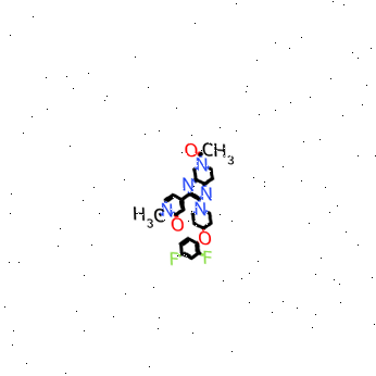 CC(=O)N1CCc2nc(N3CCC(Oc4ccc(F)cc4F)CC3)c(-c3ccn(C)c(=O)c3)nc2C1